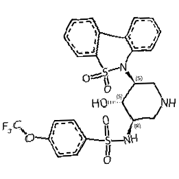 O=S(=O)(N[C@@H]1CNC[C@H](N2c3ccccc3-c3ccccc3S2(=O)=O)[C@H]1O)c1ccc(OC(F)(F)F)cc1